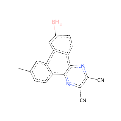 Bc1ccc2c(c1)c1cc(C)ccc1c1nc(C#N)c(C#N)nc21